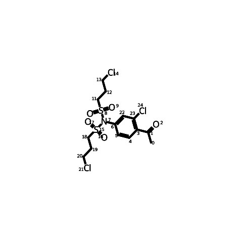 CC(=O)c1ccc(N(S(=O)(=O)CCCCl)S(=O)(=O)CCCCl)cc1Cl